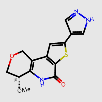 CO[C@@H]1COCc2c1[nH]c(=O)c1sc(-c3cn[nH]c3)cc21